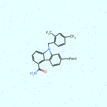 CCCCCc1c[c]c2c3c(C(N)=O)cccc3n(Cc3ccc(C(F)(F)F)cc3C(F)(F)F)c2c1